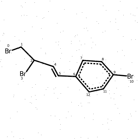 BrCC(Br)C=Cc1ccc(Br)cc1